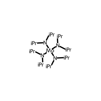 CC(C)[N](C(C)C)[Mo]([N](C(C)C)C(C)C)([N](C(C)C)C(C)C)[N](C(C)C)C(C)C